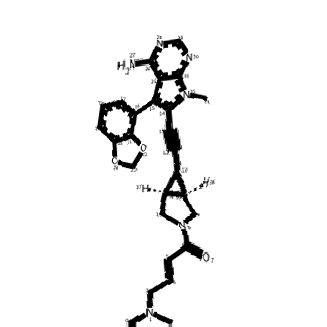 CN(C)C/C=C/C(=O)N1C[C@@H]2C(C#Cc3c(-c4cccc5c4OCO5)c4c(N)ncnc4n3C)[C@@H]2C1